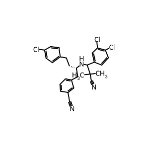 CC(C)(C#N)C(N[C@@H](CCc1ccc(Cl)cc1)Cc1cccc(C#N)c1)c1ccc(Cl)c(Cl)c1